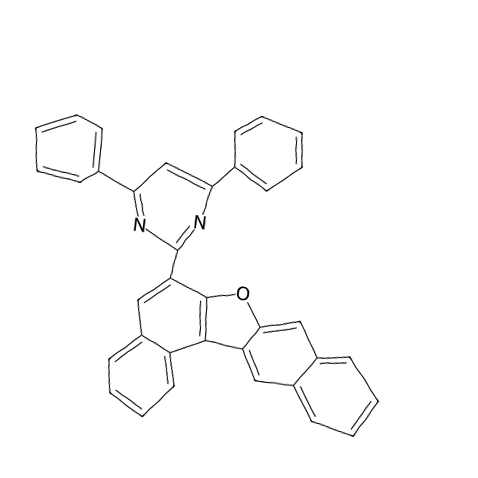 c1ccc(-c2cc(-c3ccccc3)nc(-c3cc4ccccc4c4c3oc3cc5ccccc5cc34)n2)cc1